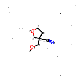 COCC1(C#N)CCOC1